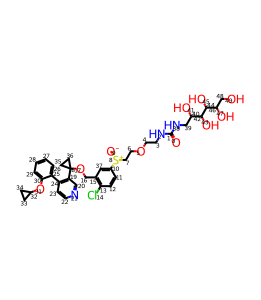 O=C(NCCOCC[S+]([O-])c1ccc(Cl)c(COC2(c3cnccc3-c3ccccc3OC3CC3)CC2)c1)NCC(O)C(O)C(O)C(O)CO